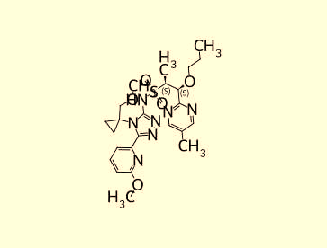 CCCO[C@@H](c1ncc(C)cn1)[C@H](C)S(=O)(=O)Nc1nnc(-c2cccc(OC)n2)n1C1(COC)CC1